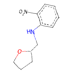 O=[N+]([O-])c1ccccc1NCC1CCCO1